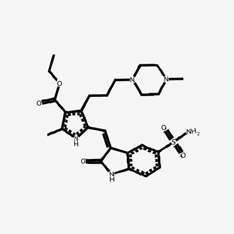 CCOC(=O)c1c(C)[nH]c(C=C2C(=O)Nc3ccc(S(N)(=O)=O)cc32)c1CCCN1CCN(C)CC1